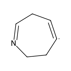 [C]1=CCC=NCC1